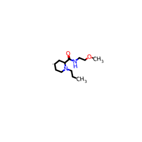 CCCN1CC[CH]CC1C(=O)NCCOC